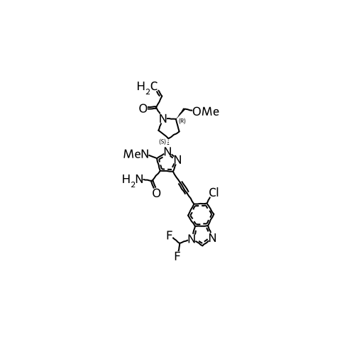 C=CC(=O)N1C[C@@H](n2nc(C#Cc3cc4c(cc3Cl)ncn4C(F)F)c(C(N)=O)c2NC)C[C@@H]1COC